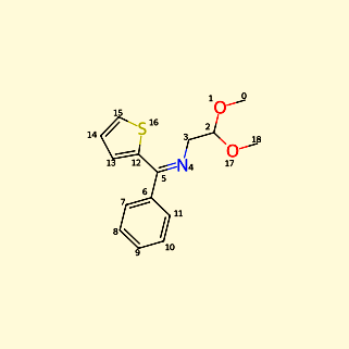 COC(C/N=C(/c1ccccc1)c1cccs1)OC